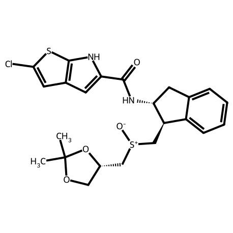 CC1(C)OC[C@@H](C[S+]([O-])C[C@@H]2c3ccccc3C[C@H]2NC(=O)c2cc3cc(Cl)sc3[nH]2)O1